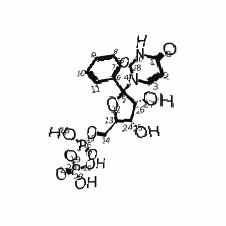 O=c1ccn([C@]2(c3ccccc3)O[C@H](COP(=O)(O)OP(=O)(O)O)[C@@H](O)[C@H]2O)c(=O)[nH]1